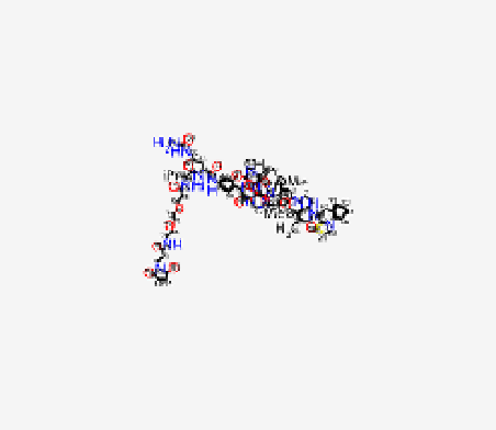 CC[C@H](C)[C@@H]([C@@H](CC(=O)N1CCC[C@H]1[C@H](OC)[C@@H](C)C(=O)N[C@@H](Cc1ccccc1)c1nccs1)OC)N(C)C(=O)[C@@H](NC(=O)[C@H](C(C)C)N(C)C(=O)Oc1cc(NC(=O)[C@H](CCCNC(N)=O)NC(=O)[C@@H](NC(=O)CCOCCOCCNC(=O)CCN2C(=O)C=CC2=O)C(C)C)ccc1CC(=O)N1CCN(C)CC1=O)C(C)C